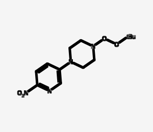 CC(C)(C)OON1CCN(c2ccc([N+](=O)[O-])nc2)CC1